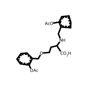 CC(=O)Oc1ccccc1CNC(CCOCc1ccccc1OC(C)=O)C(=O)O